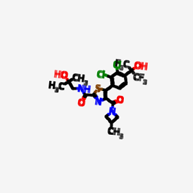 CC1CN(C(=O)c2nc(C(=O)NCC(C)(C)O)sc2-c2ccc(C(O)(C(F)(F)F)C(F)(F)F)c(Cl)c2Cl)C1